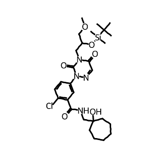 COCC(Cn1c(=O)cnn(-c2ccc(Cl)c(C(=O)NCC3(O)CCCCCC3)c2)c1=O)O[Si](C)(C)C(C)(C)C